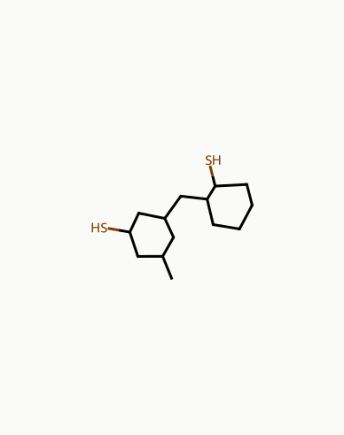 CC1CC(S)CC(CC2CCCCC2S)C1